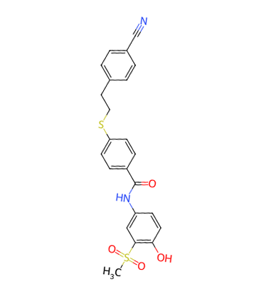 CS(=O)(=O)c1cc(NC(=O)c2ccc(SCCc3ccc(C#N)cc3)cc2)ccc1O